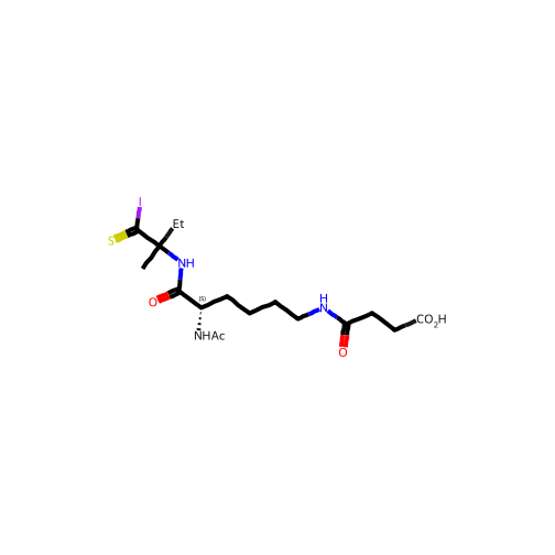 CCC(C)(NC(=O)[C@H](CCCCNC(=O)CCC(=O)O)NC(C)=O)C(=S)I